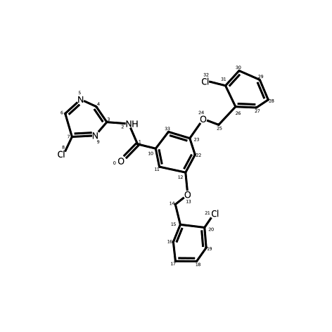 O=C(Nc1cncc(Cl)n1)c1cc(OCc2ccccc2Cl)cc(OCc2ccccc2Cl)c1